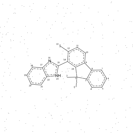 CC1(C)c2ccccc2-c2ccc(I)c(-c3nc4ccccc4[nH]3)c21